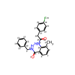 Cc1cccc(C(=O)NCc2ccccc2)c1NC(=O)Cc1ccc(F)cc1